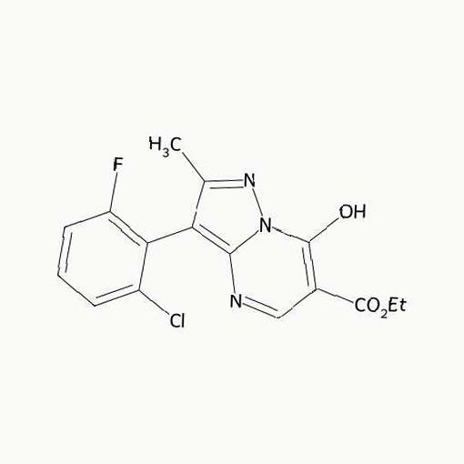 CCOC(=O)c1cnc2c(-c3c(F)cccc3Cl)c(C)nn2c1O